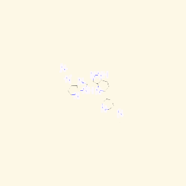 CN1CCN(c2ccnc3[nH]c(-c4n[nH]c5ccc(-c6cncc(CN7CCCC7)c6)nc45)nc23)CC1